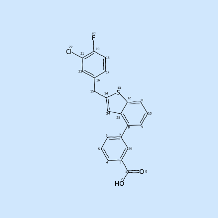 O=C(O)c1cccc(-c2cccc3sc(Cc4ccc(F)c(Cl)c4)cc23)c1